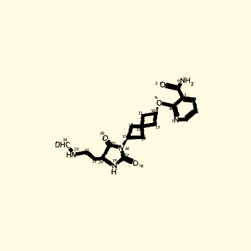 NC(=O)c1cccnc1O[C@H]1CC2(C1)C[C@H](N1C(=O)NC(CCNC=O)C1=O)C2